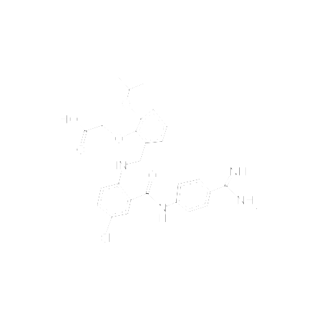 CC(C)Oc1cccc(CNc2ccc(Cl)cc2C(=O)Nc2ccc(C(=N)N)cc2)c1OCC(=O)O